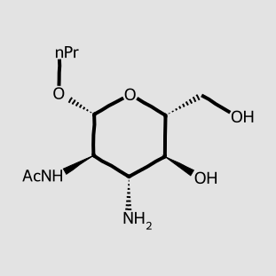 CCCO[C@@H]1O[C@H](CO)[C@@H](O)[C@H](N)[C@H]1NC(C)=O